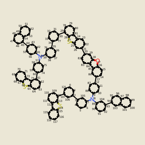 c1cc(-c2cccc(N(c3ccc(-c4ccc5oc6cc(-c7ccc8c(c7)sc7c(-c9cccc(-c%10cccc(N(c%11ccc(-c%12cccc%13ccccc%12%13)cc%11)c%11ccc(-c%12cccc%13sc%14ccccc%14c%12%13)cc%11)c%10)c9)cccc78)ccc6c5c4)cc3)c3cccc(-c4ccc5ccccc5c4)c3)c2)cc(-c2cccc3c2sc2ccccc23)c1